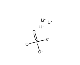 O=P([O-])([O-])[S-].[Li+].[Li+].[Li+]